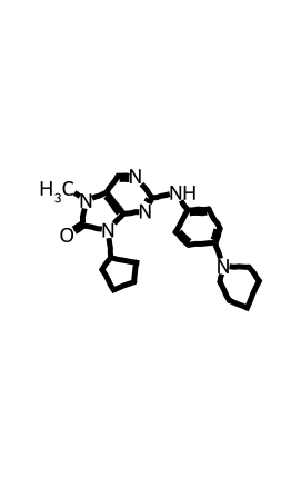 Cn1c(=O)n(C2CCCC2)c2nc(Nc3ccc(N4CCCCC4)cc3)ncc21